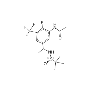 CC(=O)Nc1cc(C(C)N[S@+]([O-])C(C)(C)C)cc(C(F)(F)F)c1F